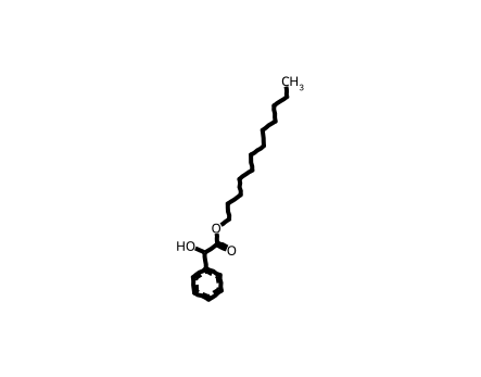 CCCCCCCCCCCCOC(=O)C(O)c1ccccc1